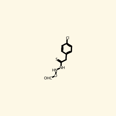 O=CONNC(=S)Cc1ccc(Cl)cc1